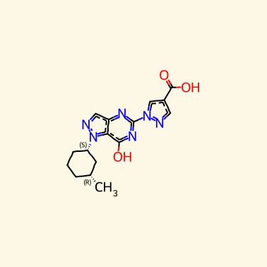 C[C@@H]1CCC[C@H](n2ncc3nc(-n4cc(C(=O)O)cn4)nc(O)c32)C1